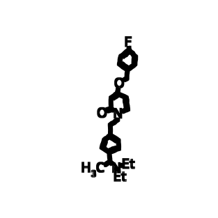 CCN(CC)C(C)c1ccc(CCn2ccc(OCc3ccc(F)cc3)cc2=O)cc1